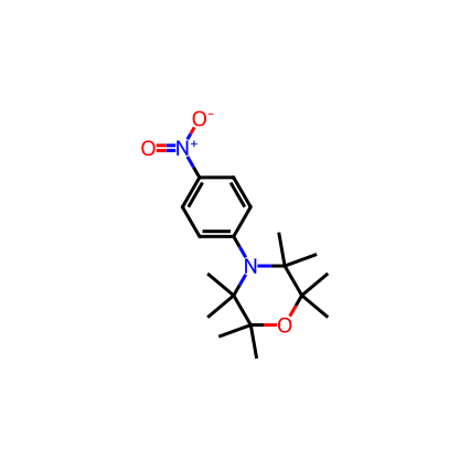 CC1(C)OC(C)(C)C(C)(C)N(c2ccc([N+](=O)[O-])cc2)C1(C)C